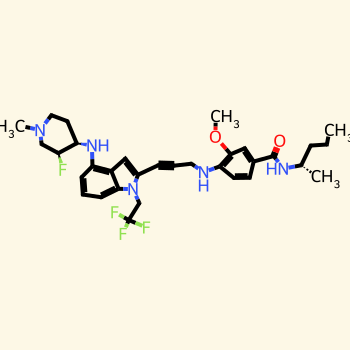 CCC[C@H](C)NC(=O)c1ccc(NCC#Cc2cc3c(N[C@@H]4CCN(C)C[C@@H]4F)cccc3n2CC(F)(F)F)c(OC)c1